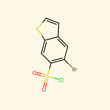 O=S(=O)(Cl)c1cc2sccc2cc1Br